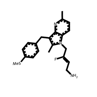 CSc1ccc(Cc2c(C)n(C/C(F)=C/CN)c3ccc(C)nc23)cc1